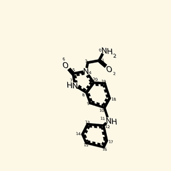 NC(=O)Cn1c(=O)[nH]c2cc(Nc3ccccc3)ccc21